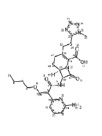 CCCCO/N=C(\C(=O)NC1C(=O)N2C(C(=O)O)=C(CSc3nnnn3C)CS[C@H]12)c1cccc(N)n1